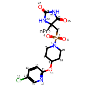 CCCC1(CS(=O)(=O)N2CCC(Oc3ccc(Cl)cn3)CC2)NC(=O)NC1=O